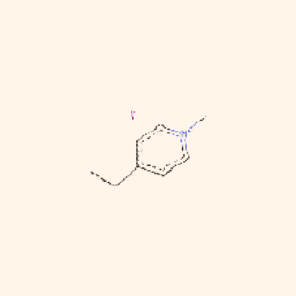 CCc1cc[n+](C)cc1.[I-]